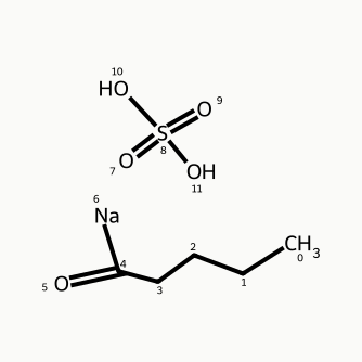 CCCC[C](=O)[Na].O=S(=O)(O)O